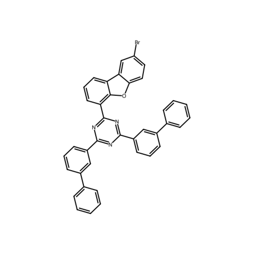 Brc1ccc2oc3c(-c4nc(-c5cccc(-c6ccccc6)c5)nc(-c5cccc(-c6ccccc6)c5)n4)cccc3c2c1